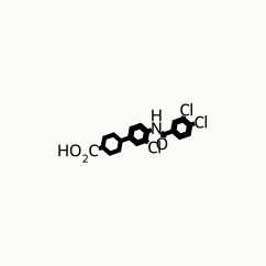 O=C(Nc1ccc(C2CCC(C(=O)O)CC2)cc1Cl)c1ccc(Cl)c(Cl)c1